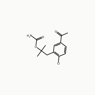 CC(=O)c1ccc(Cl)c(CC(C)(C)OC(N)=O)c1